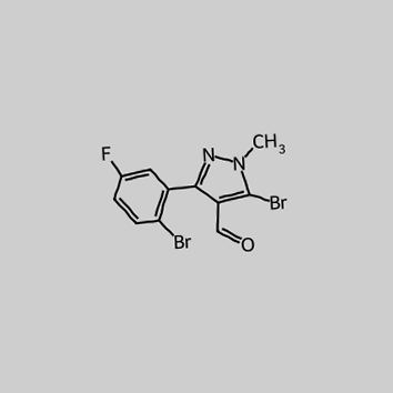 Cn1nc(-c2cc(F)ccc2Br)c(C=O)c1Br